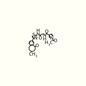 CC(=O)n1ccc(C(=O)NCC(=O)Nc2nc(-c3ccc4c(c3)C(=O)CCC(C)CC4)cs2)c1